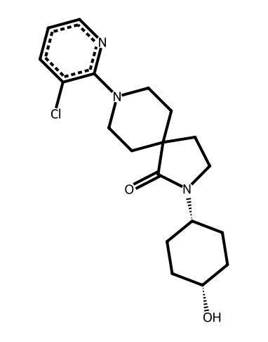 O=C1N([C@H]2CC[C@@H](O)CC2)CCC12CCN(c1ncccc1Cl)CC2